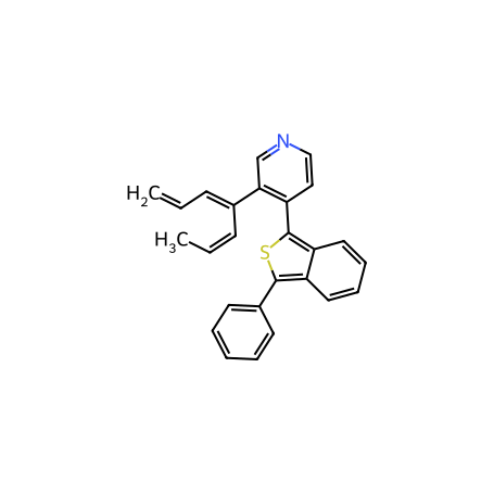 C=C/C=C(\C=C/C)c1cnccc1-c1sc(-c2ccccc2)c2ccccc12